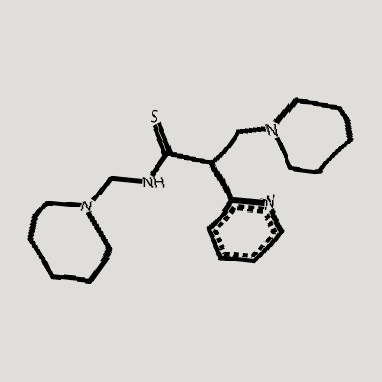 S=C(NCN1CCCCC1)C(CN1CCCCC1)c1ccccn1